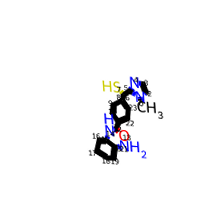 Cn1ccnc1C(S)c1ccc(C(=O)Nc2ccccc2N)cc1